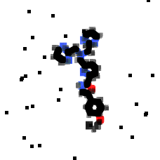 COc1ccc(-c2cnc(-c3cccc(CN(Cc4ncccn4)Cc4ncccn4)n3)o2)cc1